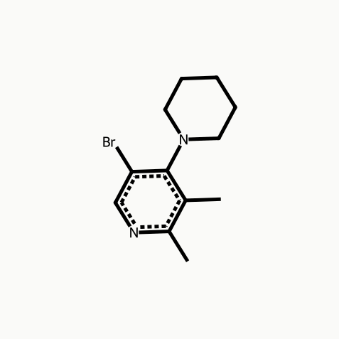 Cc1ncc(Br)c(N2CCCCC2)c1C